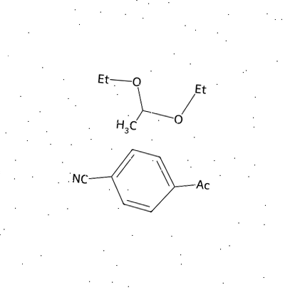 CC(=O)c1ccc(C#N)cc1.CCOC(C)OCC